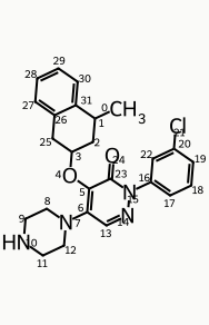 CC1CC(Oc2c(N3CCNCC3)cnn(-c3cccc(Cl)c3)c2=O)Cc2ccccc21